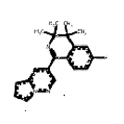 CC1(C)N=C(c2cnn3cccc3c2)c2ccc(F)cc2C1(C)C